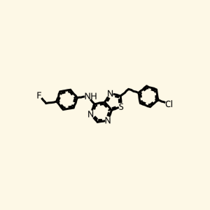 FCc1ccc(Nc2ncnc3sc(Cc4ccc(Cl)cc4)nc23)cc1